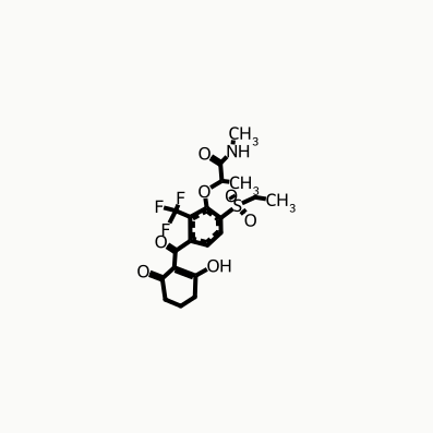 CCS(=O)(=O)c1ccc(C(=O)C2=C(O)CCCC2=O)c(C(F)(F)F)c1OC(C)C(=O)NC